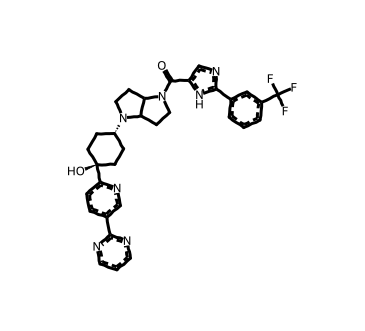 O=C(c1cnc(-c2cccc(C(F)(F)F)c2)[nH]1)N1CCC2C1CCN2[C@H]1CC[C@@](O)(c2ccc(-c3ncccn3)cn2)CC1